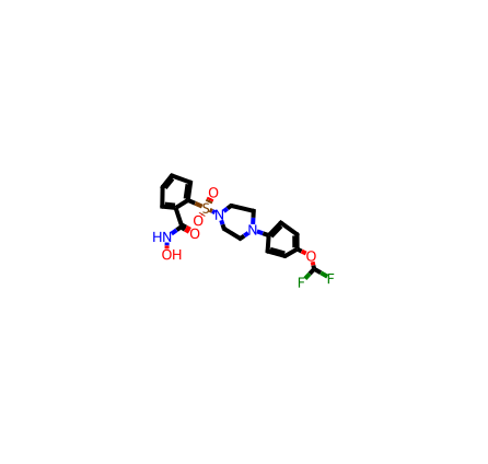 O=C(NO)c1ccccc1S(=O)(=O)N1CCN(c2ccc(OC(F)F)cc2)CC1